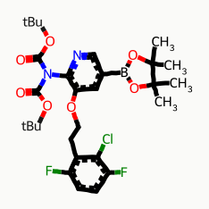 CC(C)(C)OC(=O)N(C(=O)OC(C)(C)C)c1ncc(B2OC(C)(C)C(C)(C)O2)cc1OCCc1c(F)ccc(F)c1Cl